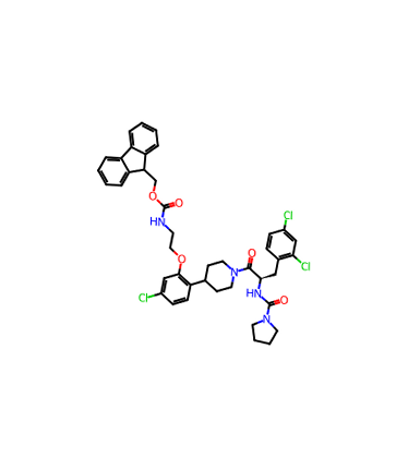 O=C(NCCOc1cc(Cl)ccc1C1CCN(C(=O)[C@@H](Cc2ccc(Cl)cc2Cl)NC(=O)N2CCCC2)CC1)OCC1c2ccccc2-c2ccccc21